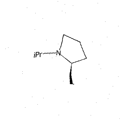 [CH2][C@@H]1CCCN1C(C)C